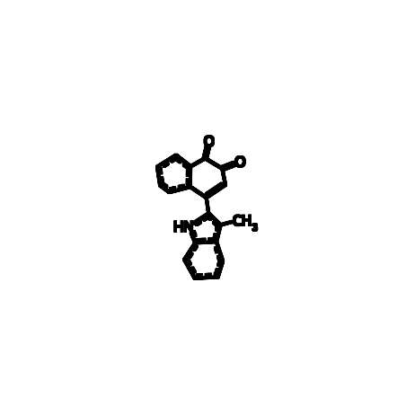 Cc1c(C2=CC(=O)C(=O)c3ccccc32)[nH]c2ccccc12